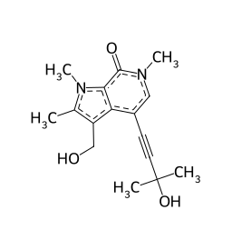 Cc1c(CO)c2c(C#CC(C)(C)O)cn(C)c(=O)c2n1C